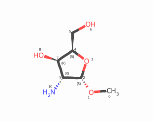 CO[C@H]1O[C@H](CO)[C@H](O)[C@H]1N